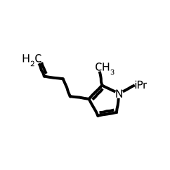 C=CCCc1ccn(C(C)C)c1C